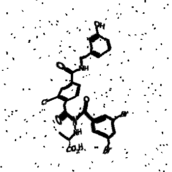 C[C@H](NN(C(=O)c1cc(Br)cc(Br)c1)C(=O)c1ccc(C(=O)NCc2cccc(O)c2)cc1Cl)C(=O)O